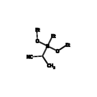 CCO[Si](CC)(OCC)C(C)C#N